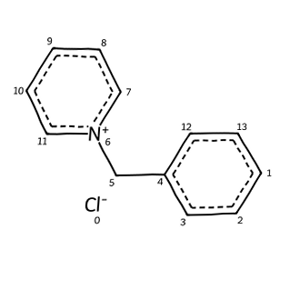 [Cl-].c1ccc(C[n+]2ccccc2)cc1